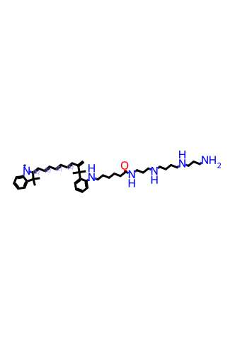 C=C(/C=C/C=C/C=C/C=C1/N(C)c2ccccc2C1(C)C)C(C)(C)c1ccccc1NCCCCCC(=O)NCCCNCCCCNCCCN